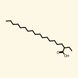 CCCCCCCCCCCCCCCCC(CC)C(=O)O